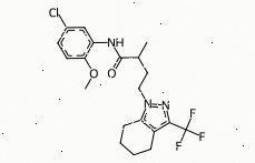 COc1ccc(Cl)cc1NC(=O)C(C)CCn1nc(C(F)(F)F)c2c1CCCC2